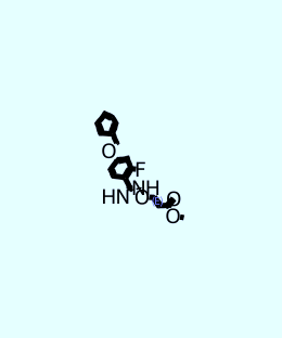 COC(=O)/C=C/ONC(=N)c1ccc(OCc2ccccc2)cc1F